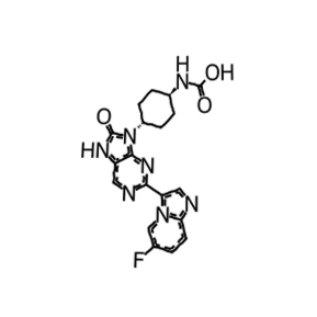 O=C(O)N[C@H]1CC[C@H](n2c(=O)[nH]c3cnc(-c4cnc5ccc(F)cn45)nc32)CC1